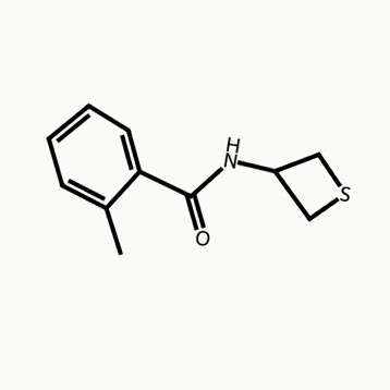 Cc1ccccc1C(=O)NC1CSC1